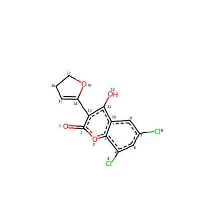 O=c1oc2c(Cl)cc(Cl)cc2c(O)c1C1=CCCO1